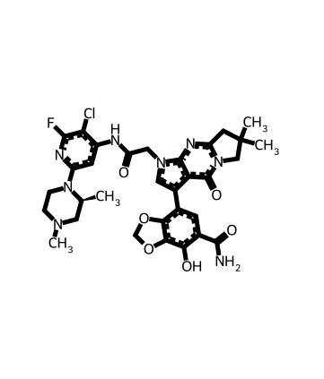 C[C@H]1CN(C)CCN1c1cc(NC(=O)Cn2cc(-c3cc(C(N)=O)c(O)c4c3OCO4)c3c(=O)n4c(nc32)CC(C)(C)C4)c(Cl)c(F)n1